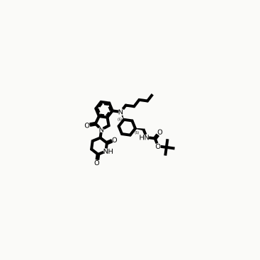 CCCCCN(c1cccc2c1CN(C1CCC(=O)NC1=O)C2=O)[C@H]1CCC[C@H](CNC(=O)OC(C)(C)C)C1